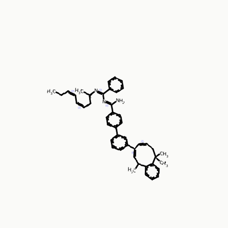 CC/C=C\C=C/CC(C)/N=C(\N=C(/N)c1ccc(-c2cccc(C3=C/C(C)c4ccccc4C(C)(C)C/C=C\3)c2)cc1)c1ccccc1